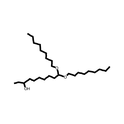 CCCCCCCCCOC(CCCCCCC(O)CC)OCCCCCCCCC